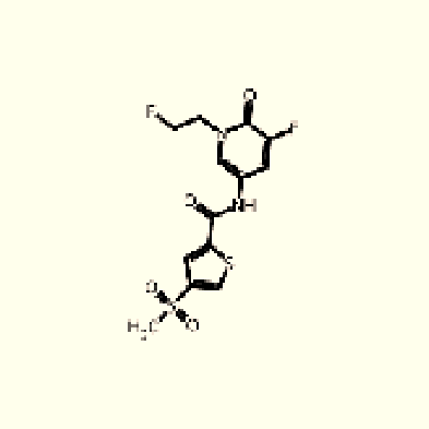 CS(=O)(=O)c1csc(C(=O)Nc2cc(F)c(=O)n(CCF)c2)c1